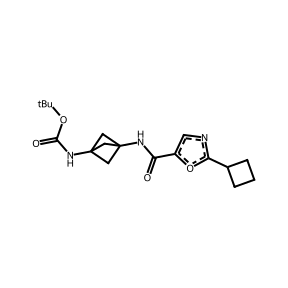 CC(C)(C)OC(=O)NC12CC(NC(=O)c3cnc(C4CCC4)o3)(C1)C2